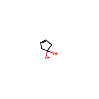 OC1(O)CC=CC1